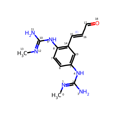 CN=C(N)Nc1ccc(NC(N)=NC)c(/C=C/C=O)c1